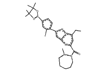 CCc1cc(C(=O)N2CCCCCN2C)nc2cc(-c3ccc(B4OC(C)(C)C(C)(C)O4)cc3F)nn12